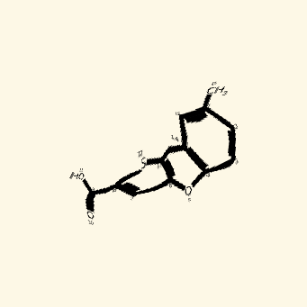 Cc1ccc2oc3cc(C(=O)O)sc3c2c1